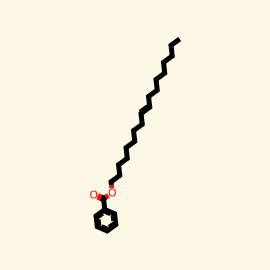 CCCCCCCCC=CCCCCCCCCOC(=O)c1ccccc1